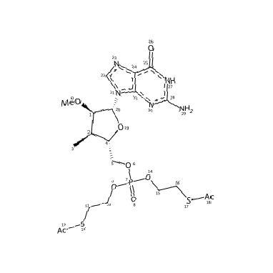 CO[C@@H]1[C@H](C)[C@@H](COP(=O)(OCCSC(C)=O)OCCSC(C)=O)O[C@H]1n1cnc2c(=O)[nH]c(N)nc21